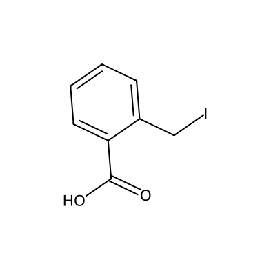 O=C(O)c1ccccc1CI